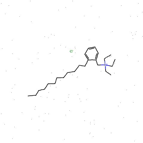 CCCCCCCCCCCCc1ccccc1C[N+](CC)(CC)CC.[Cl-]